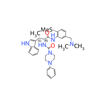 CSc1ccc(CN(C)C)cc1NC(=O)[C@H](NC(=O)N1CCN(c2ccccc2)CC1)[C@@H](C)c1c[nH]c2ccccc12